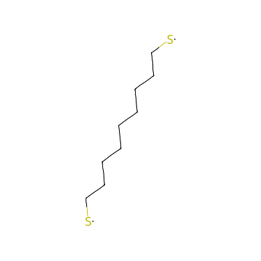 [S]CCCCCCCCC[S]